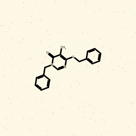 Cc1c(SCc2ccccc2)ncn(Cc2ccccc2)c1=O